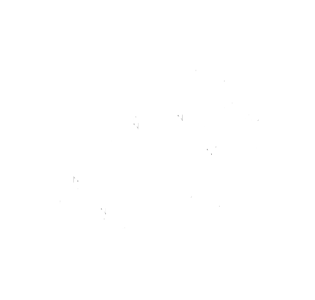 Cc1c(C2=CC=CC(C)N2C2=NC=CCC2=O)[c]ncc1C1NCCN1C